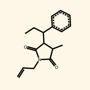 C=CCN1C(=O)C(C)C(C(CC)c2ccccc2)C1=O